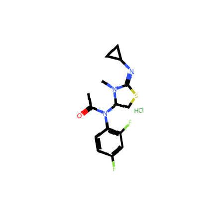 CC(=O)N(c1ccc(F)cc1F)C1CSC(=NC2CC2)N1C.Cl